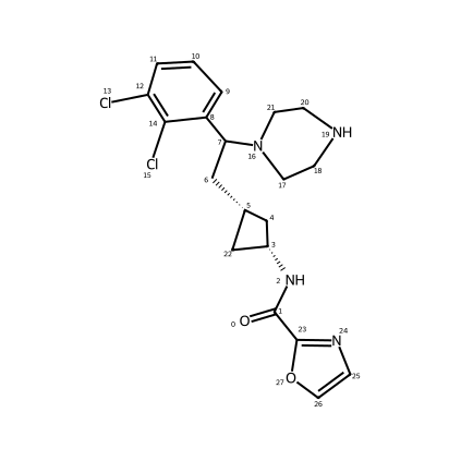 O=C(N[C@H]1C[C@@H](CC(c2cccc(Cl)c2Cl)N2CCNCC2)C1)c1ncco1